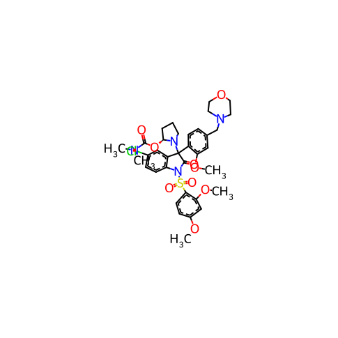 COc1ccc(S(=O)(=O)N2C(=O)C(c3ccc(CN4CCOCC4)cc3OC)(N3CCC[C@@H]3OC(=O)N(C)C)c3cc(Cl)ccc32)c(OC)c1